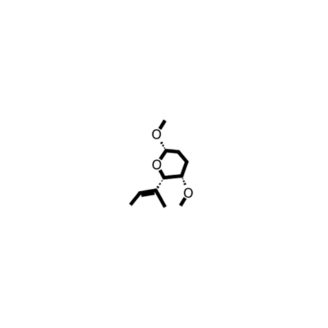 C/C=C(\C)[C@@H]1O[C@H](OC)CC[C@@H]1OC